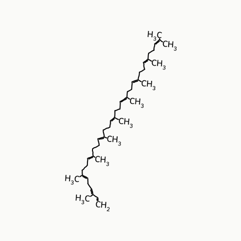 C=C/C(C)=C/C/C=C(\C)CC/C=C(\C)CC/C=C(\C)CC/C=C(\C)CC/C=C(\C)CC/C=C(\C)CC/C=C(\C)CCC=C(C)C